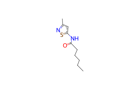 CCCCCC(=O)Nc1cc(C)ns1